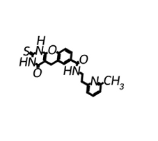 Cc1cccc(CCNC(=O)c2ccc3c(c2)Cc2c([nH]c(=S)[nH]c2=O)O3)n1